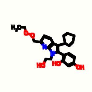 CCOOCc1ccc2c(C3CCCCC3)c(-c3ccc(O)cc3O)n(CCO)c2n1